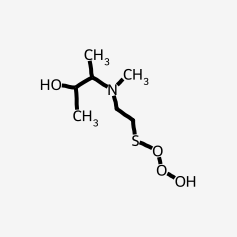 CC(O)C(C)N(C)CCSOOO